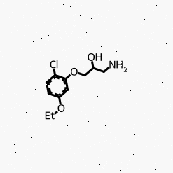 CCOc1ccc(Cl)c(OCC(O)CN)c1